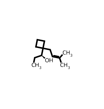 CC[C@H](O)C1(CC=C(C)C)CCC1